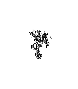 C[C@@H]1c2c(C(F)(F)F)nn(CC(=O)N[C@@H](Cc3cc(F)cc(F)c3)c3nc(C#CC(C)(C)S(=O)(=O)C4CC4)ccc3-c3ccc(F)c4c(NS(=O)(=O)C5CC5)nn(CC(F)F)c34)c2C(F)(F)[C@@H]1C